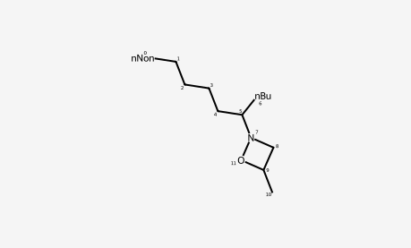 CCCCCCCCCCCCCC(CCCC)N1CC(C)O1